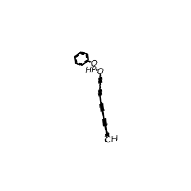 C#CC#CC#CC#CC#COPOc1ccccc1